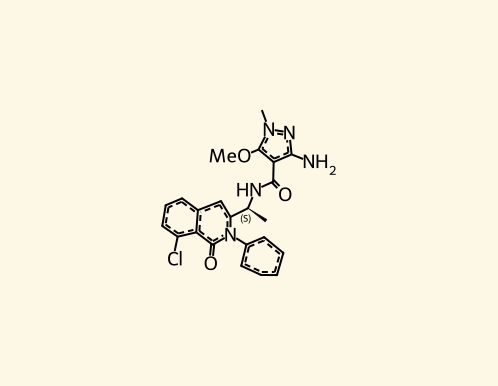 COc1c(C(=O)N[C@@H](C)c2cc3cccc(Cl)c3c(=O)n2-c2ccccc2)c(N)nn1C